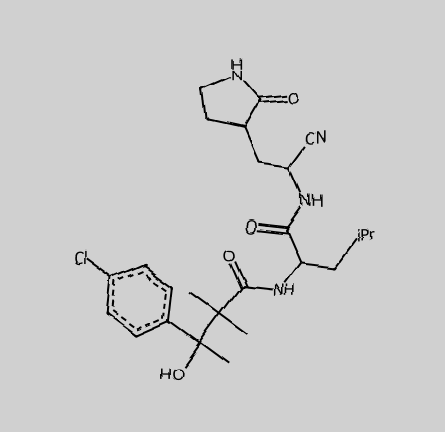 CC(C)CC(NC(=O)C(C)(C)C(C)(O)c1ccc(Cl)cc1)C(=O)NC(C#N)CC1CCNC1=O